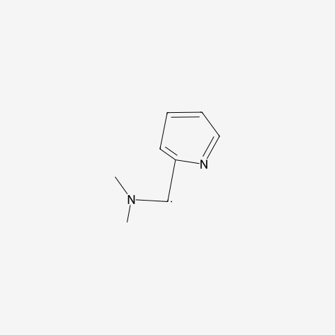 CN(C)[CH]c1ccccn1